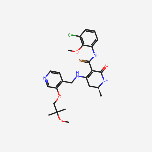 COc1c(Cl)cccc1NC(=S)C1=C(NCc2ccncc2OCC(C)(C)OC)C[C@H](C)NC1=O